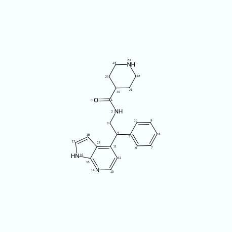 O=C(NCC(c1ccccc1)c1ccnc2[nH]ccc12)C1CCNCC1